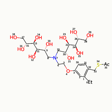 CCc1cc(OCCN(C[C@@H](O)[C@@H](O)[C@H](O)[C@H](O)CO)C[C@@H](O)[C@@H](O)[C@H](O)[C@H](O)CO)ccc1CSC(C)=O